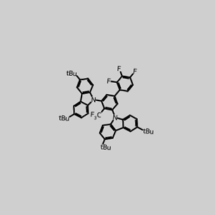 CC(C)(C)c1ccc2c(c1)c1cc(C(C)(C)C)ccc1n2-c1cc(-c2ccc(F)c(F)c2F)cc(-n2c3ccc(C(C)(C)C)cc3c3cc(C(C)(C)C)ccc32)c1C(F)(F)F